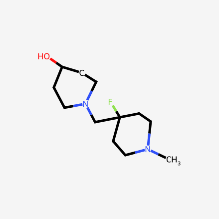 CN1CCC(F)(CN2CCC(O)CC2)CC1